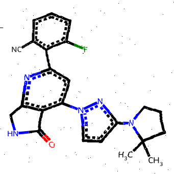 CC1(C)CCCN1c1ccn(-c2cc(-c3c(F)cccc3C#N)nc3c2C(=O)NC3)n1